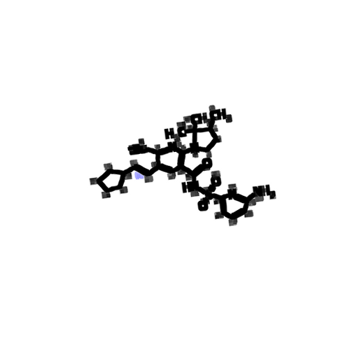 CC1CCN(c2nc(C(C)(C)C)c(/C=C/C3CCCC3)cc2C(=O)NS(=O)(=O)c2cccc(N)n2)C1(C)C